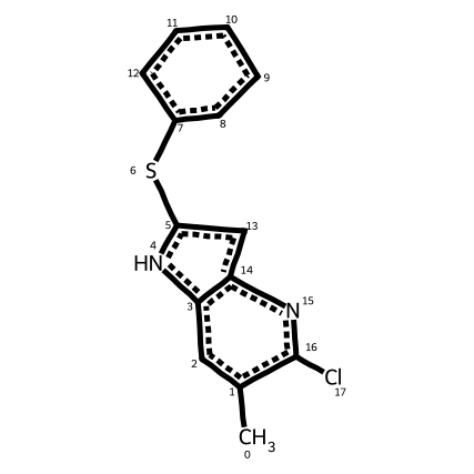 Cc1cc2[nH]c(Sc3ccccc3)cc2nc1Cl